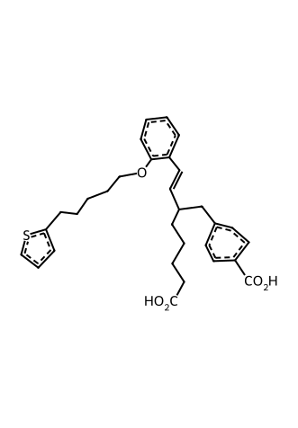 O=C(O)CCCCC(/C=C/c1ccccc1OCCCCCc1cccs1)Cc1ccc(C(=O)O)cc1